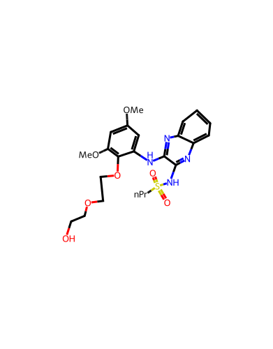 CCCS(=O)(=O)Nc1nc2ccccc2nc1Nc1cc(OC)cc(OC)c1OCCOCCO